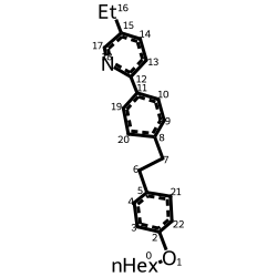 CCCCCCOc1ccc(CCc2ccc(-c3ccc(CC)cn3)cc2)cc1